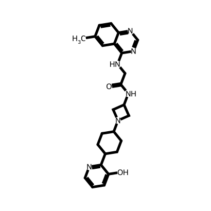 Cc1ccc2ncnc(NCC(=O)NC3CN(C4CCC(c5ncccc5O)CC4)C3)c2c1